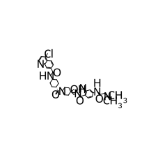 CN(C)CC(=O)Nc1ccc2c(=O)n(CC3(O)CCN(C(=O)[C@H]4CC[C@@H](NC(=O)c5ccc6c(Cl)ccnc6c5)CC4)CC3)cnc2c1